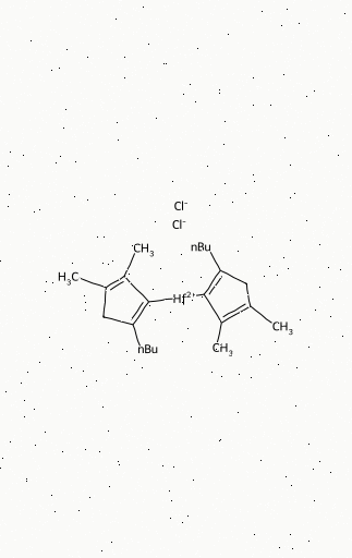 CCCCC1=[C]([Hf+2][C]2=C(CCCC)CC(C)=C2C)C(C)=C(C)C1.[Cl-].[Cl-]